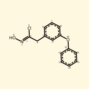 O/N=C(\Cl)Cc1cccc(Oc2ccccc2)c1